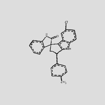 Cc1ccc(C2CC3(C(=O)Nc4ccccc43)c3c2[nH]c2ccc(Cl)cc32)cc1